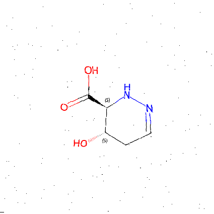 O=C(O)[C@H]1NN=CC[C@@H]1O